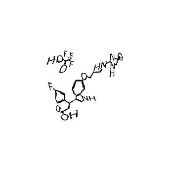 O=C(O)C(F)(F)F.O=C(O)CC(c1ccc(F)cc1)c1c[nH]c2cc(OCCCNC3=NC(=O)CN3)ccc12